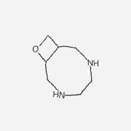 C1CNCC2OCC2CN1